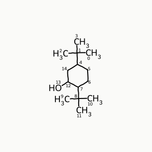 CC(C)(C)C1CCC(C(C)(C)C)C(O)C1